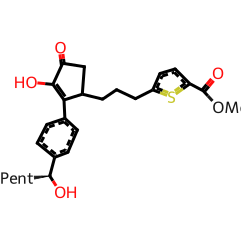 CCCCC[C@H](O)c1ccc(C2=C(O)C(=O)CC2CCCc2ccc(C(=O)OC)s2)cc1